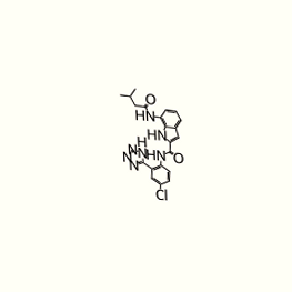 CC(C)CC(=O)Nc1cccc2cc(C(=O)Nc3ccc(Cl)cc3-c3nnn[nH]3)[nH]c12